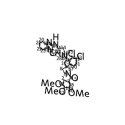 COc1cc(C(=O)N2CCC(CCN3CCC(Nc4nc5ccccc5n4C)CC3)(c3ccc(Cl)c(Cl)c3)C2)cc(OC)c1OC